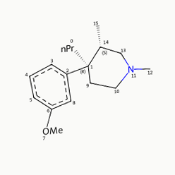 CCC[C@@]1(c2cccc(OC)c2)CCN(C)C[C@H]1C